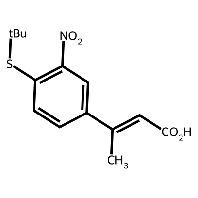 CC(=CC(=O)O)c1ccc(SC(C)(C)C)c([N+](=O)[O-])c1